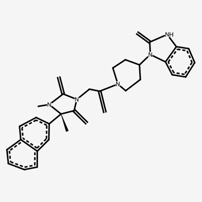 C=C(CN1C(=C)N(C)[C@@](C)(c2ccc3ccccc3c2)C1=C)N1CCC(N2C(=C)Nc3ccccc32)CC1